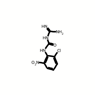 N=C(N)NC(=O)Nc1c(Cl)cccc1[N+](=O)[O-]